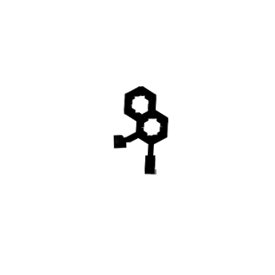 [C]#Cc1ccc2ccccc2c1Br